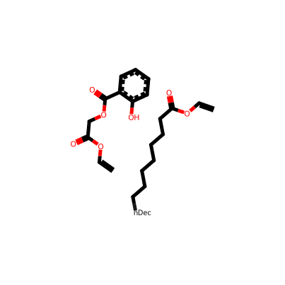 C=COC(=O)CCCCCCCCCCCCCCCCC.C=COC(=O)COC(=O)c1ccccc1O